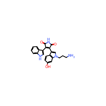 NCCCn1cc(C2=C(c3c[nH]c4ccccc34)C(=O)NC2=O)c2ccc(O)cc21